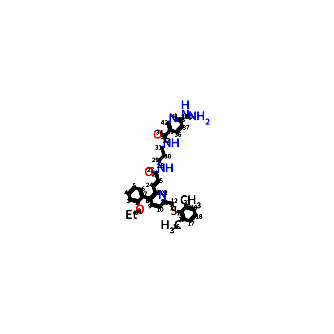 CCOc1ccccc1-c1ccc(CSc2c(C)cccc2C)nc1/C=C/C(=O)NCCCNC(=O)c1ccc(NN)nc1